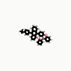 CC(C)(C)c1ccc(-c2c3ccccc3c(-c3ccc4c5c3Oc3ccccc3B5c3ccccc3O4)c3ccccc23)cc1